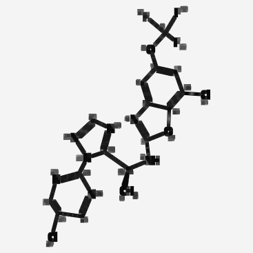 C[C@H](Nc1nc2cc(OC(F)(F)F)cc(Cl)c2o1)c1ncnn1-c1ncc(Cl)cn1